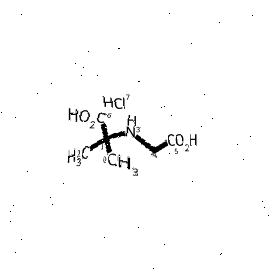 CC(C)(NCC(=O)O)C(=O)O.Cl